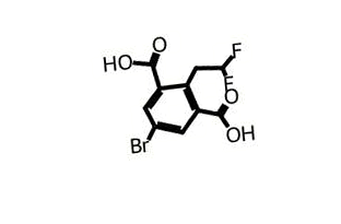 O=C(O)c1cc(Br)cc(C(=O)O)c1CC(F)F